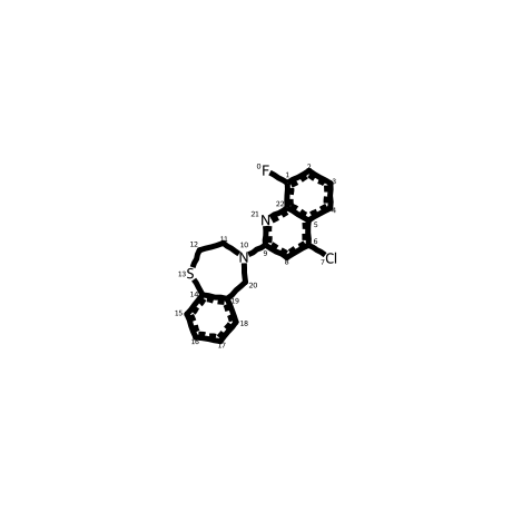 Fc1cccc2c(Cl)cc(N3CCSc4ccccc4C3)nc12